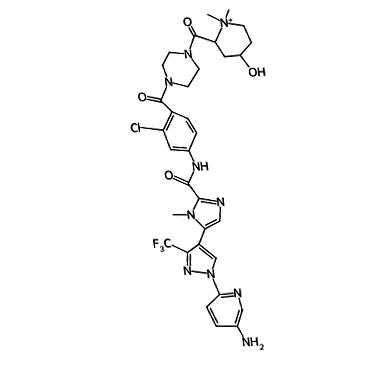 Cn1c(-c2cn(-c3ccc(N)cn3)nc2C(F)(F)F)cnc1C(=O)Nc1ccc(C(=O)N2CCN(C(=O)C3CC(O)CC[N+]3(C)C)CC2)c(Cl)c1